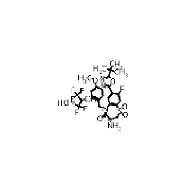 COc1ccc(CN2C(=O)[C@@H](N)CS(=O)(=O)c3cc(F)c(-c4nnc(C(C)(C)C)o4)cc32)cc1.Cl.OC(C(F)(F)F)C(F)(F)F